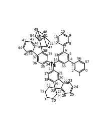 c1ccc(-c2cc(-c3ccccc3)cc(N(c3ccc4c(c3)-c3ccccc3C43CCCCC3)c3ccc4c(c3)C3(c5ccccc5-4)C4CC5CC(C4)C3C5)c2)cc1